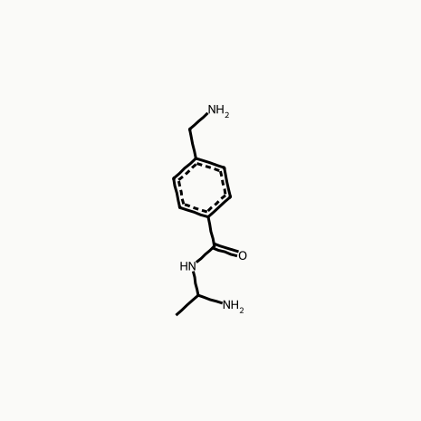 CC(N)NC(=O)c1ccc(CN)cc1